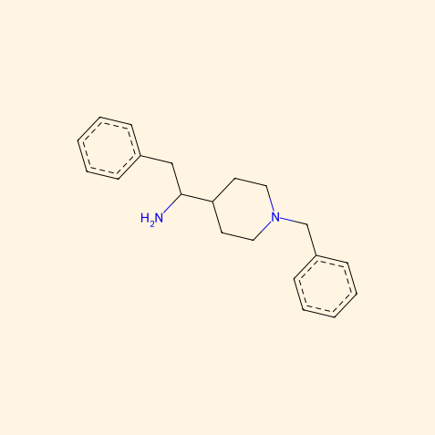 NC(Cc1ccccc1)C1CCN(Cc2ccccc2)CC1